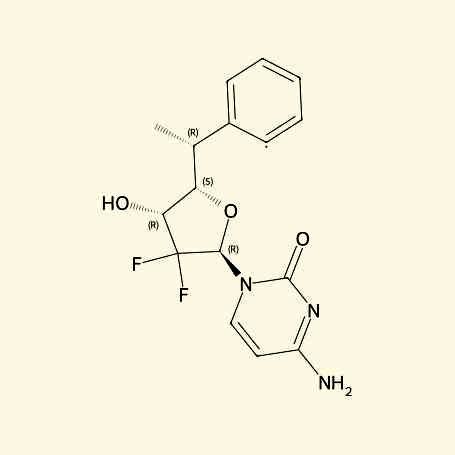 C[C@H](c1[c]cccc1)[C@@H]1O[C@@H](n2ccc(N)nc2=O)C(F)(F)[C@@H]1O